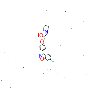 OC(COc1ccc(-c2noc3cc(F)ccc23)cc1)CN1CCCCC1